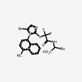 CCC(C)C(NC(=O)C(F)(F)Sc1ncc(Br)n1-c1ccc(C#N)c2ccccc12)C(=O)O